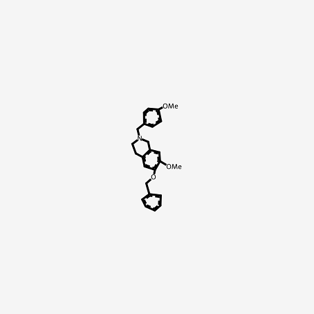 COc1ccc(CN2CCc3cc(OCc4ccccc4)c(OC)cc3C2)cc1